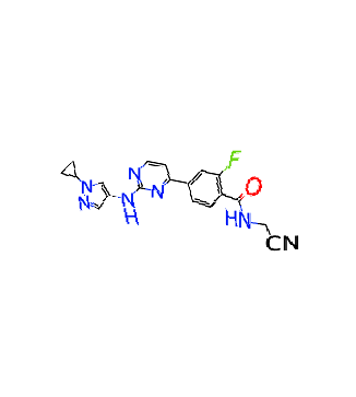 N#CCNC(=O)c1ccc(-c2ccnc(Nc3cnn(C4CC4)c3)n2)cc1F